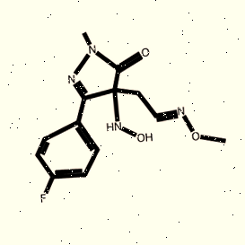 CON=CCC1(NO)C(=O)N(C)N=C1c1ccc(F)cc1